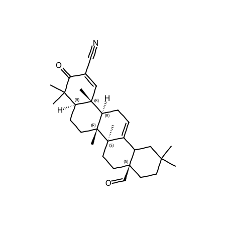 CC1(C)CC[C@]2(C=O)CC[C@]3(C)C(=CC[C@@H]4[C@@]5(C)C=C(C#N)C(=O)C(C)(C)[C@@H]5CC[C@]43C)C2C1